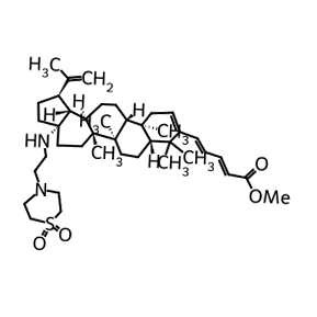 C=C(C)[C@@H]1CC[C@]2(NCCN3CCS(=O)(=O)CC3)CC[C@]3(C)[C@H](CC[C@@H]4[C@@]5(C)CC=C(C=C/C=C/C(=O)OC)C(C)(C)[C@@H]5CC[C@]43C)[C@@H]12